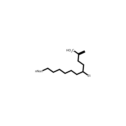 C=C(CCC(CC)CCCCCCCCCCCCCCC)C(=O)O